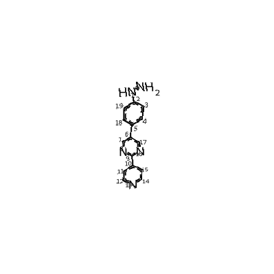 NNc1ccc(-c2cnc(-c3ccncc3)nc2)cc1